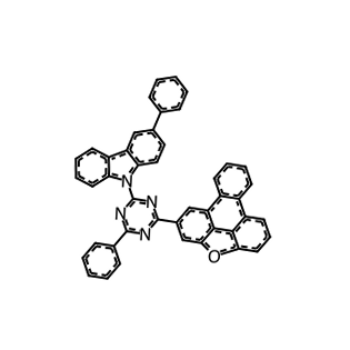 c1ccc(-c2ccc3c(c2)c2ccccc2n3-c2nc(-c3ccccc3)nc(-c3cc4oc5cccc6c7ccccc7c(c3)c4c56)n2)cc1